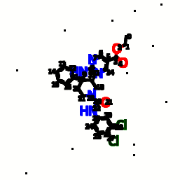 CCOC(=O)c1cnc(NC2(c3ccccc3)CCN(C(=O)Nc3ccc(Cl)c(Cl)c3)CC2)nc1